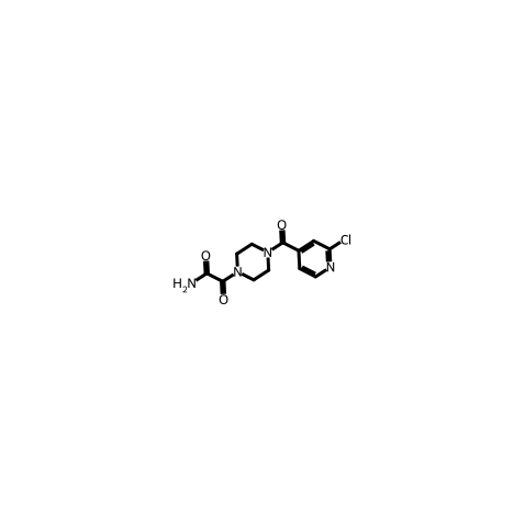 NC(=O)C(=O)N1CCN(C(=O)c2ccnc(Cl)c2)CC1